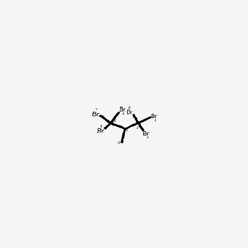 C[C](C(Br)(Br)Br)C(Br)(Br)Br